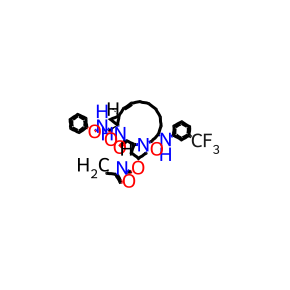 C=Cc1coc(O[C@@H]2C[C@H]3C(=O)N[C@]4(C(=O)NOc5ccccc5)C[C@H]4/C=C\CCCCC[C@H](Nc4cccc(C(F)(F)F)c4)C(=O)N3C2)n1